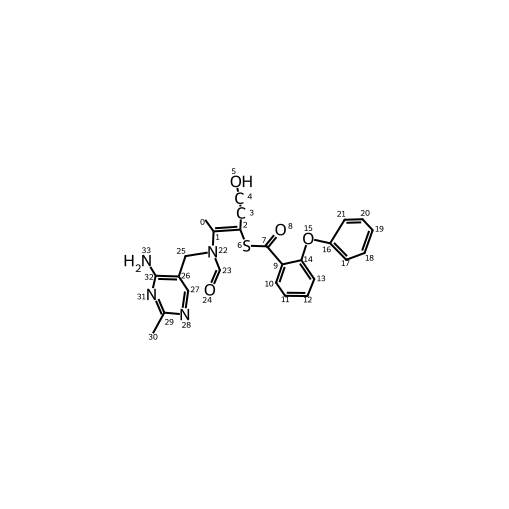 C/C(=C(\CCO)SC(=O)c1ccccc1Oc1ccccc1)N(C=O)Cc1cnc(C)nc1N